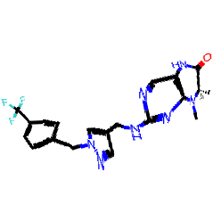 C[C@H]1C(=O)Nc2cnc(NCc3cnn(Cc4ccc(C(F)(F)F)cc4)c3)nc2N1C